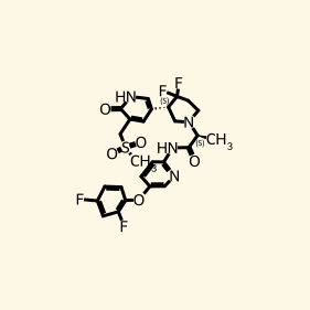 C[C@@H](C(=O)Nc1ccc(Oc2ccc(F)cc2F)cn1)N1CCC(F)(F)[C@@H](c2c[nH]c(=O)c(CS(C)(=O)=O)c2)C1